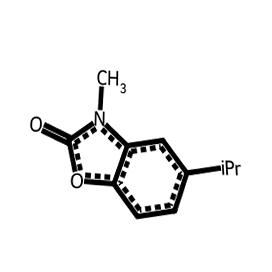 CC(C)c1ccc2oc(=O)n(C)c2c1